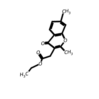 CCOC(=O)Cc1c(C)oc2cc(C)ccc2c1=O